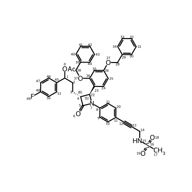 CC(=O)OC(CC[C@H]1C(=O)N(c2ccc(C#CCNS(C)(=O)=O)cc2)[C@@H]1c1ccc(OCc2ccccc2)cc1OCc1ccccc1)c1ccc(F)cc1